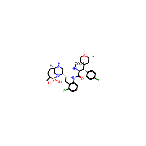 CC1CC[C@@H]2CN([C@@H](CCc3c(F)cccc3NC(=O)[C@@H](NC(=O)O)[C@@H](c3ccc(F)cc3)C3C[C@@H](C)O[C@@H](C)C3)CN2)S1(O)O